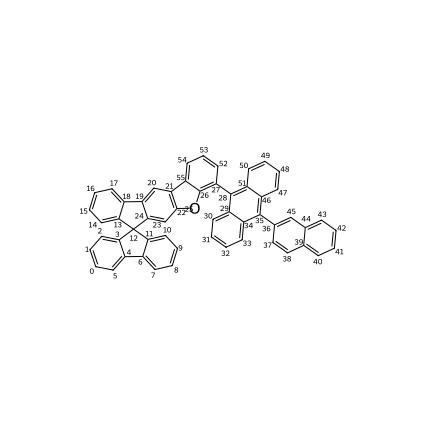 c1ccc2c(c1)-c1ccccc1C21c2ccccc2-c2cc3c(cc21)oc1c(-c2c4ccccc4c(-c4ccc5ccccc5c4)c4ccccc24)cccc13